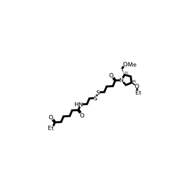 CCO[C@@H]1C[C@@H](COC)N(C(=O)CCCSSCCNC(=O)CCCCC(=O)CC)C1